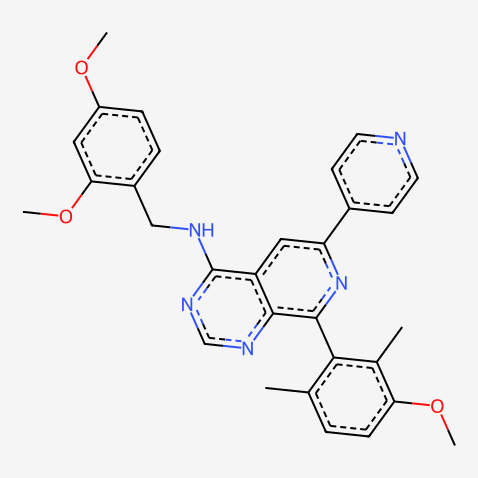 COc1ccc(CNc2ncnc3c(-c4c(C)ccc(OC)c4C)nc(-c4ccncc4)cc23)c(OC)c1